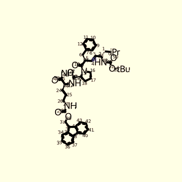 CC(C)C[C@@H](/C=C/[C@H](Cc1ccccc1)C(=O)N1CCC[C@H]1C(=O)N[C@@H](CCCNC(=O)OCC1c2ccccc2-c2ccccc21)C(N)=O)NC(=O)OC(C)(C)C